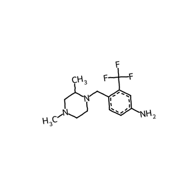 CC1CN(C)CCN1Cc1ccc(N)cc1C(F)(F)F